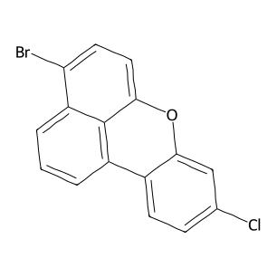 Clc1ccc2c(c1)Oc1ccc(Br)c3cccc-2c13